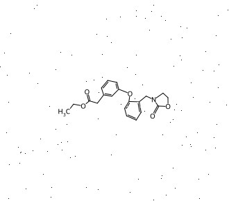 CCOC(=O)Cc1cccc(Oc2ccccc2CN2CCOC2=O)c1